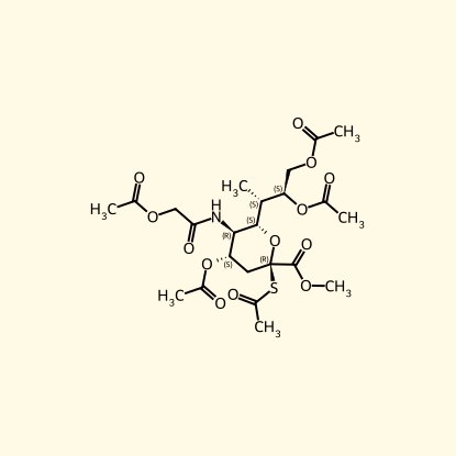 COC(=O)[C@]1(SC(C)=O)C[C@H](OC(C)=O)[C@@H](NC(=O)COC(C)=O)[C@H]([C@H](C)[C@@H](COC(C)=O)OC(C)=O)O1